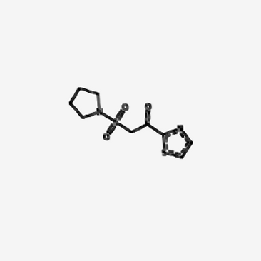 O=C(CS(=O)(=O)N1CCCC1)c1nccs1